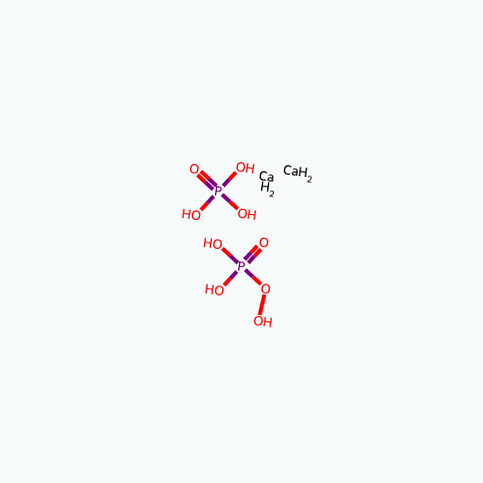 O=P(O)(O)O.O=P(O)(O)OO.[CaH2].[CaH2]